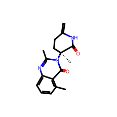 C=C1CC[C@](C)(n2c(C)nc3cccc(C)c3c2=O)C(=O)N1